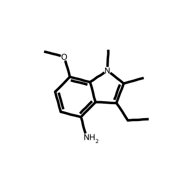 CCc1c(C)n(C)c2c(OC)ccc(N)c12